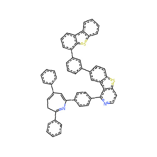 C1=C(c2ccccc2)C=C(c2ccc(-c3nccc4sc5ccc(-c6cccc(-c7cccc8c7sc7ccccc78)c6)cc5c34)cc2)N=C(c2ccccc2)C1